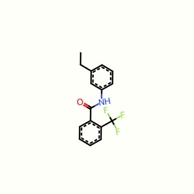 CCc1cccc(NC(=O)c2ccccc2C(F)(F)F)c1